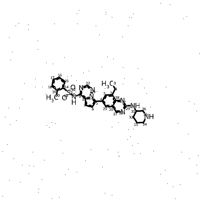 CCc1cc(-c2ccc3c(NS(=O)(=O)c4ccccc4C)ncnn23)cc2cnc(NC3CCCNC3)nc12